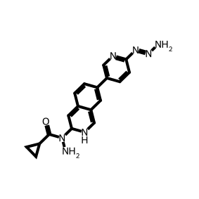 NN=Nc1ccc(-c2ccc3c(c2)=CNC(N(N)C(=O)C2CC2)C=3)cn1